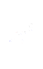 CC(=O)N1CCC(N[C@@H](Cc2c[nH]c3ccccc23)C(=O)N[C@@H](CCC(=O)C=N)C(=O)SC(C)C)CC1